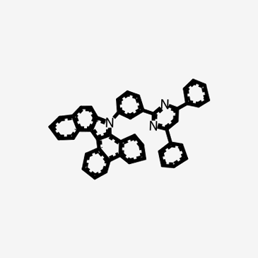 c1ccc(-c2cc(-c3ccccc3)nc(-c3cccc(-n4c5ccc6ccccc6c5c5c6ccccc6c6ccccc6c54)c3)n2)cc1